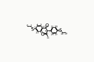 CCSc1ccc(C(=O)C(C(C)=O)c2ccc(SCC)cc2)cc1